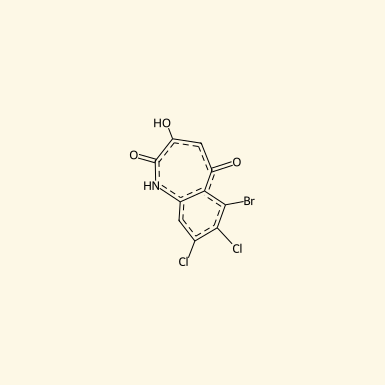 O=c1[nH]c2cc(Cl)c(Cl)c(Br)c2c(=O)cc1O